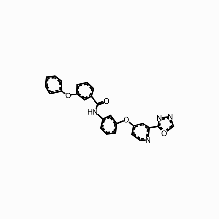 O=C(Nc1cccc(Oc2ccnc(-c3nnco3)c2)c1)c1cccc(Oc2ccccc2)c1